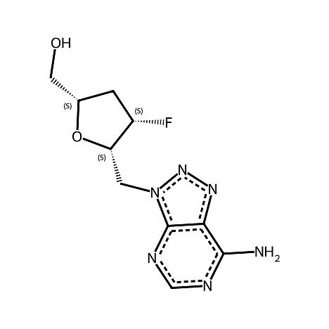 Nc1ncnc2c1nnn2C[C@@H]1O[C@H](CO)C[C@@H]1F